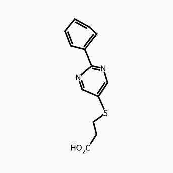 O=C(O)CCSc1cnc(-c2ccccc2)nc1